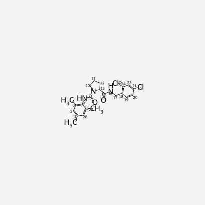 Cc1cc(C)c(NC(=O)N2CCC[C@H]2C(=O)NCc2ccc(Cl)cc2Cl)c(C)c1